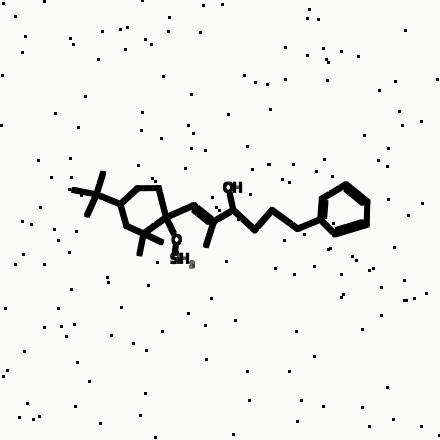 CC(=CC1(O[SiH3])CCC(C(C)(C)C)CC1(C)C)C(O)CCCc1ccccc1